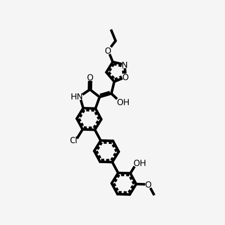 CCOc1cc(C(O)=C2C(=O)Nc3cc(Cl)c(-c4ccc(-c5cccc(OC)c5O)cc4)cc32)on1